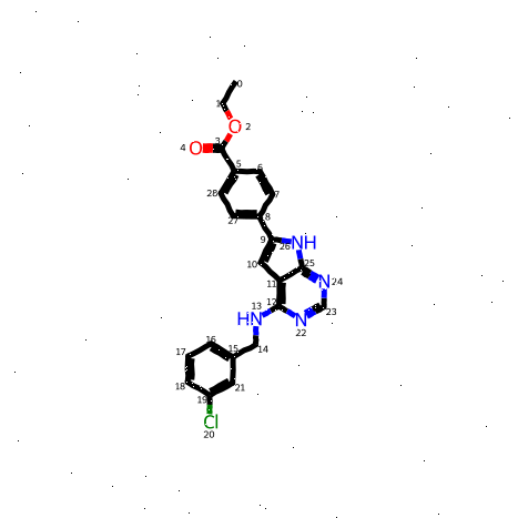 CCOC(=O)c1ccc(-c2cc3c(NCc4cccc(Cl)c4)ncnc3[nH]2)cc1